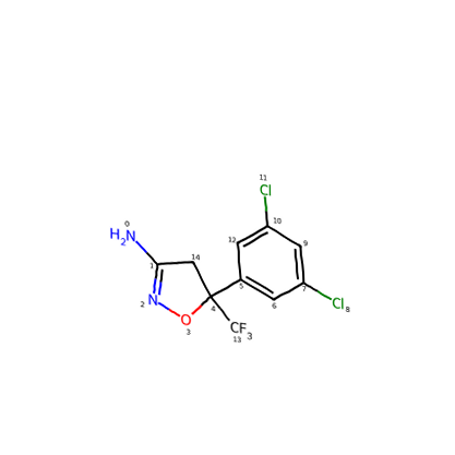 NC1=NOC(c2cc(Cl)cc(Cl)c2)(C(F)(F)F)C1